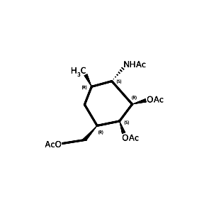 CC(=O)N[C@@H]1[C@@H](OC(C)=O)[C@@H](OC(C)=O)[C@@H](COC(C)=O)C[C@H]1C